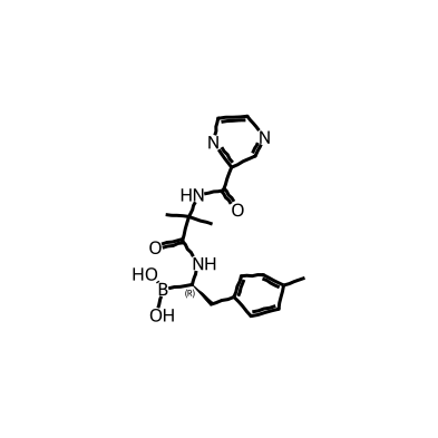 Cc1ccc(C[C@H](NC(=O)C(C)(C)NC(=O)c2cnccn2)B(O)O)cc1